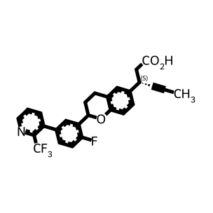 CC#C[C@@H](CC(=O)O)c1ccc2c(c1)CCC(c1cc(-c3cccnc3C(F)(F)F)ccc1F)O2